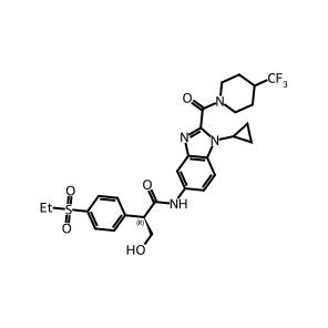 CCS(=O)(=O)c1ccc([C@H](CO)C(=O)Nc2ccc3c(c2)nc(C(=O)N2CCC(C(F)(F)F)CC2)n3C2CC2)cc1